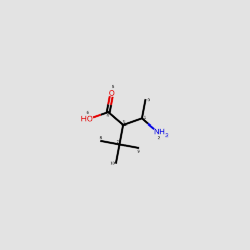 CC(N)C(C(=O)O)C(C)(C)C